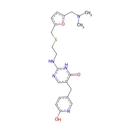 CN(C)Cc1ccc(CSCCNc2ncc(Cc3ccc(O)nc3)c(=O)[nH]2)o1